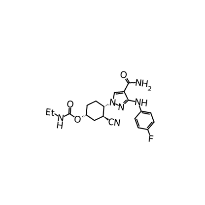 CCNC(=O)O[C@@H]1CC[C@H](n2cc(C(N)=O)c(Nc3ccc(F)cc3)n2)[C@@H](C#N)C1